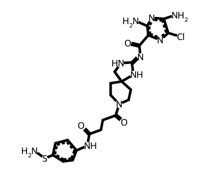 NSc1ccc(NC(=O)CCC(=O)N2CCC3(CC2)CN/C(=N\C(=O)c2nc(Cl)c(N)nc2N)N3)cc1